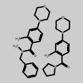 CN(Cc1ccccc1)C(=O)c1ccc(N2CCOCC2)cc1N.Nc1cc(N2CCOCC2)ccc1C(=O)N1CCCC1